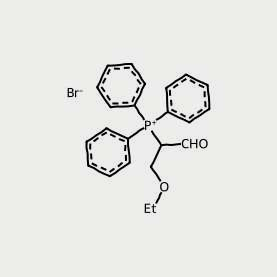 CCOCC(C=O)[P+](c1ccccc1)(c1ccccc1)c1ccccc1.[Br-]